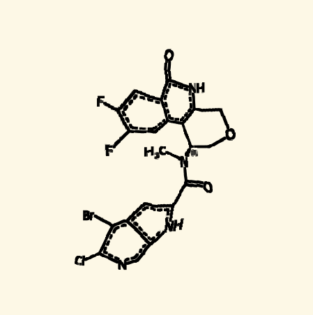 CN(C(=O)c1cc2c(Br)c(Cl)ncc2[nH]1)[C@@H]1COCc2[nH]c(=O)c3cc(F)c(F)cc3c21